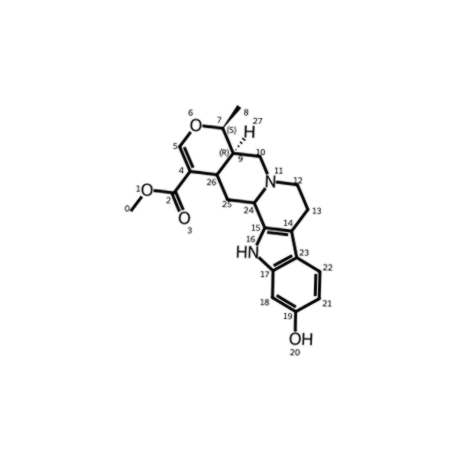 COC(=O)C1=CO[C@@H](C)[C@H]2CN3CCc4c([nH]c5cc(O)ccc45)C3CC12